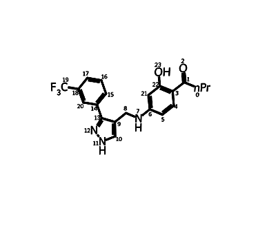 CCCC(=O)c1ccc(NCc2c[nH]nc2-c2cccc(C(F)(F)F)c2)cc1O